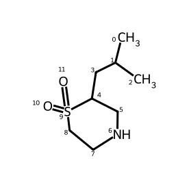 CC(C)CC1CNCCS1(=O)=O